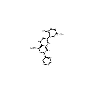 CNc1nc(-c2cnccn2)nc2cc(-c3cc(Cl)ccc3F)ccc12